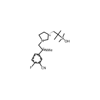 CN[C@H](CN1CC[C@H](CC(C)(C)[Si](C)(C)O)C1)c1ccc(F)c(C#N)c1